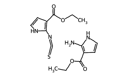 CCOC(=O)c1cc[nH]c1N.CCOC(=O)c1cc[nH]c1N=C=S